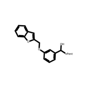 CCCCCC(O)c1cccc(OCc2cc3ccccc3o2)c1